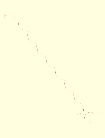 CCOCCCCCCCCCCCCCC[Si](C(C)C)(C(C)C)C(C)C